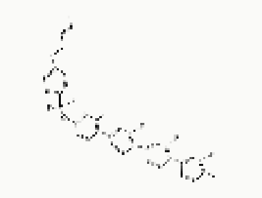 C/C=C/CCc1ccc(C(F)(F)Oc2ccc(-c3ccc(-c4ccc(-c5ccc(F)c(F)c5)c(F)c4)c(F)c3)c(F)c2)cc1